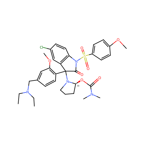 CCN(CC)Cc1ccc(C2(N3CCC[C@@H]3OC(=O)N(C)C)C(=O)N(S(=O)(=O)c3ccc(OC)cc3)c3ccc(Cl)cc32)c(OC)c1